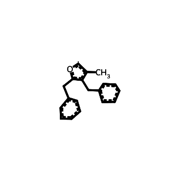 Cc1[c]oc(Cc2ccccc2)c1Cc1ccccc1